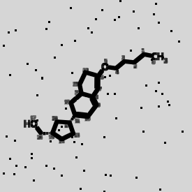 CCCCCOC1=CC2=CC=C([C@@H]3CC[C@H](CO)C3)CC2CC1